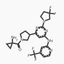 NC1(C(=O)N2CCC(c3cc(Nc4cc(C(F)(F)F)ccn4)nc(N4CCC(F)(F)C4)n3)C2)CC1